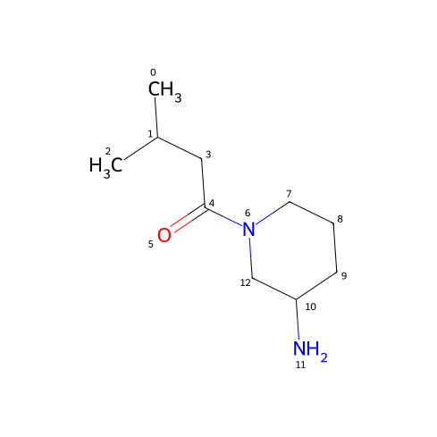 CC(C)CC(=O)N1CCCC(N)C1